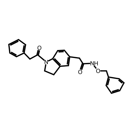 O=C(Cc1ccc2c(c1)CCN2C(=O)Cc1ccccc1)NOCc1ccccc1